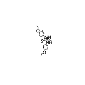 CBC.CCOc1ccc(NC(=S)Nc2ccc(OCC)cc2)cc1